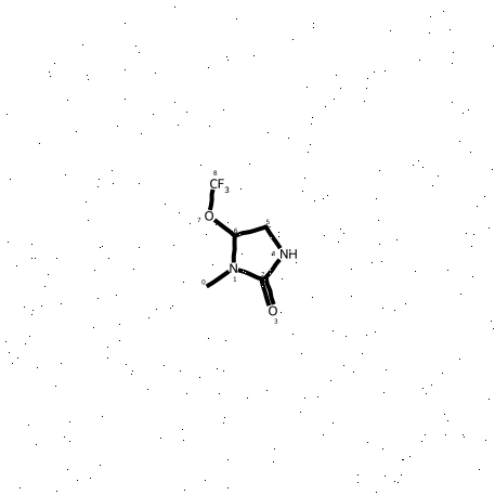 CN1C(=O)N[CH]C1OC(F)(F)F